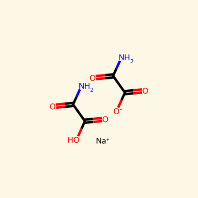 NC(=O)C(=O)O.NC(=O)C(=O)[O-].[Na+]